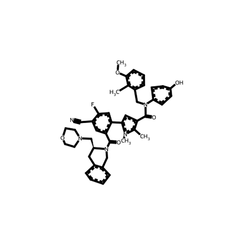 COc1cccc(CN(C(=O)c2cc(-c3cc(F)c(C#N)cc3C(=O)N3Cc4ccccc4C[C@H]3CN3CCOCC3)n(C)c2C)c2ccc(O)cc2)c1C